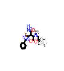 CCN1CC(C)(C)OC(=O)C1C(C(N)=O)c1nc(-c2ccccc2)ns1